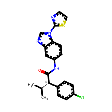 CC(C)[C@H](C(=O)Nc1ccc2c(c1)ncn2-c1nccs1)c1ccc(Cl)cc1